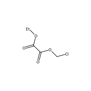 CCOC(=O)C(=O)OCCl